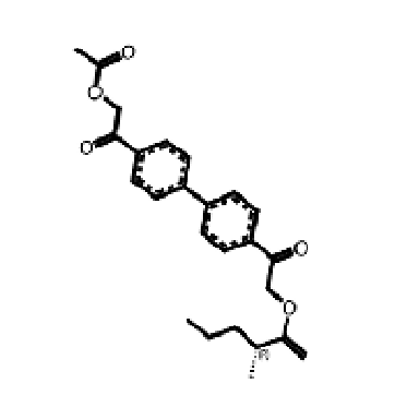 C=C(OCC(=O)c1ccc(-c2ccc(C(=O)COC(C)=O)cc2)cc1)[C@H](C)CCC